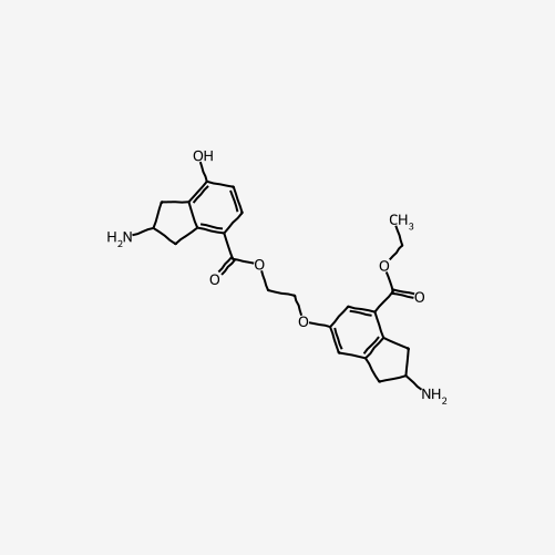 CCOC(=O)c1cc(OCCOC(=O)c2ccc(O)c3c2CC(N)C3)cc2c1CC(N)C2